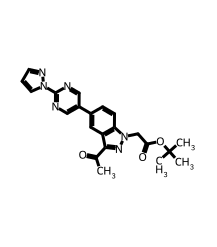 CC(=O)c1nn(CC(=O)OC(C)(C)C)c2ccc(-c3cnc(-n4cccn4)nc3)cc12